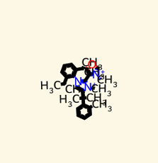 Cc1ccccc1C(C)(C)c1cn(-c2c(C(C)C)cccc2C(C)C)c(-c2coc[n+]2C)[n+]1C